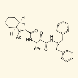 CCC[C@H](NC(=O)[C@@H]1C[C@@H]2CCCC[C@@H]2N1C(C)=O)C(=O)C(=O)NN(Cc1ccccc1)Cc1ccccc1